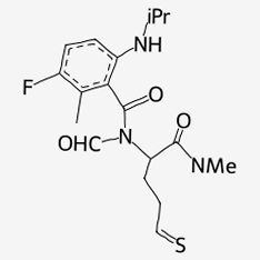 CNC(=O)C(CCC=S)N(C=O)C(=O)c1c(NC(C)C)ccc(F)c1C